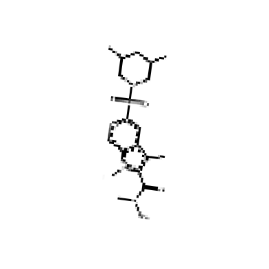 CCCCN(C)C(=O)c1c(C)c2cc(S(=O)(=O)N3CC(C)CC(C)C3)ccc2n1S